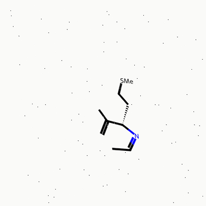 C=C(C)[C@H](CCSC)/N=C\C